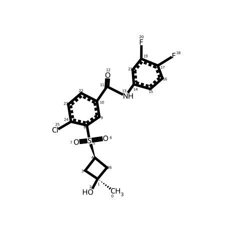 C[C@]1(O)C[C@@H](S(=O)(=O)c2cc(C(=O)Nc3ccc(F)c(F)c3)ccc2Cl)C1